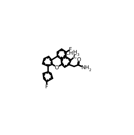 Cc1cc(Oc2c(-c3ccc(F)cc3)cccc2-c2ccc(F)cc2)cc(CC(N)=O)c1C